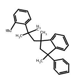 CC(C)(C)c1ccccc1C(C)(C)CC1(C)CC(C)(c2ccccc2)c2ccccc21